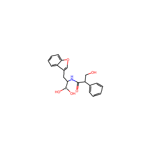 O=C(NC(Cc1coc2ccccc12)B(O)O)C(CO)c1ccccc1